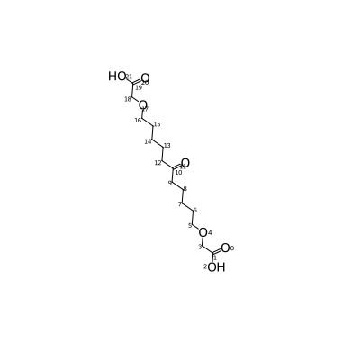 O=C(O)COCCCCCC(=O)CCCCCOCC(=O)O